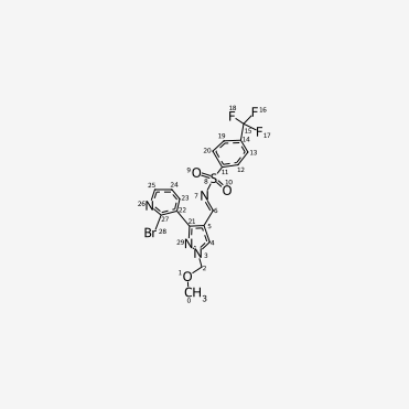 COCn1cc(C=NS(=O)(=O)c2ccc(C(F)(F)F)cc2)c(-c2cccnc2Br)n1